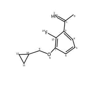 CC(=N)c1cccc(OCC2CC2)c1F